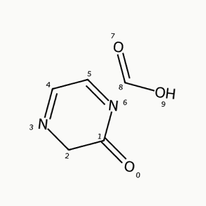 O=C1CN=CC=N1.O=CO